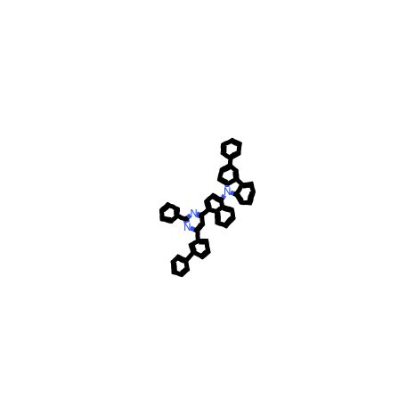 c1ccc(-c2cccc(-c3cc(-c4ccc(-n5c6ccccc6c6cc(-c7ccccc7)ccc65)c5ccccc45)nc(-c4ccccc4)n3)c2)cc1